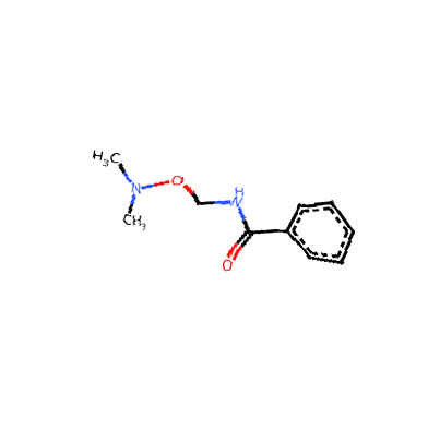 CN(C)OCNC(=O)c1ccccc1